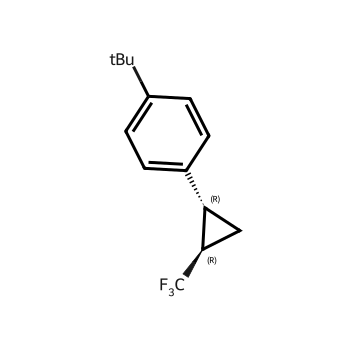 CC(C)(C)c1ccc([C@@H]2C[C@H]2C(F)(F)F)cc1